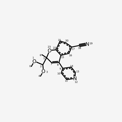 COC(OC)C1(C)C=C(c2ccncc2)c2cc(C#N)ccc2O1